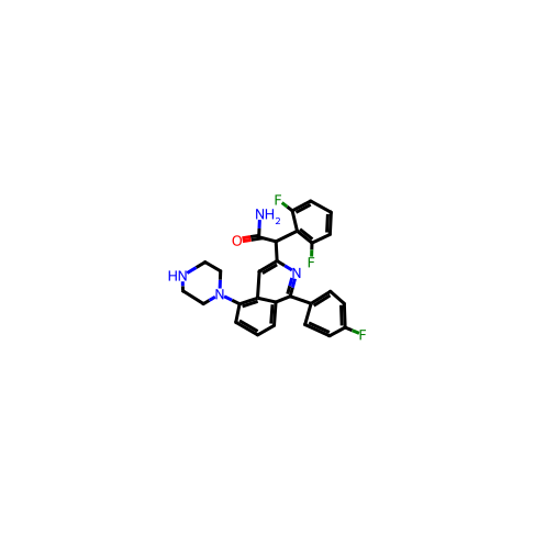 NC(=O)C(c1cc2c(N3CCNCC3)cccc2c(-c2ccc(F)cc2)n1)c1c(F)cccc1F